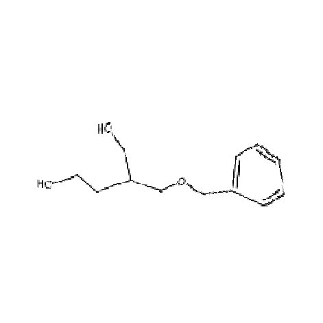 OCCC(CO)COCc1ccccc1